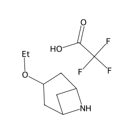 CCOC1CC2CC(C1)N2.O=C(O)C(F)(F)F